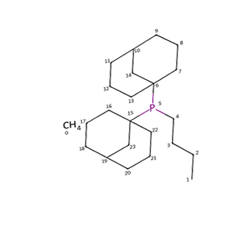 C.CCCCP(C12CCCC(CCC1)C2)C12CCCC(CCC1)C2